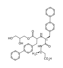 C[C@H](CC(=O)O)NC(=O)[C@H](Cc1ccc(-c2ccccc2)cc1)NC(Cc1ccc(-c2ccccc2)cc1)C(=O)OCC(O)CO